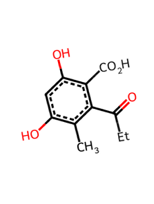 CCC(=O)c1c(C)c(O)cc(O)c1C(=O)O